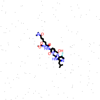 COC(=O)NC(CCC=CC(=O)N(C)C)C(=O)Nc1ccc(CO)n(Cc2nc3c(F)cnc(CC(C)C)c3[nH]2)c1=O